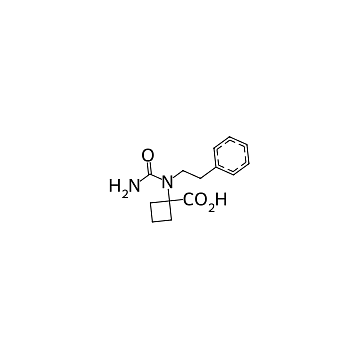 NC(=O)N(CCc1ccccc1)C1(C(=O)O)CCC1